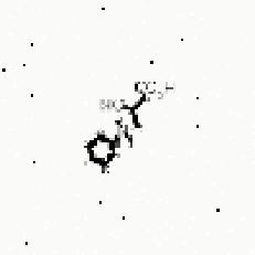 C[N+](C)(CC(O)CC(=O)O)c1ccccc1